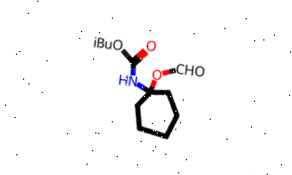 CC(C)COC(=O)NC1(OC=O)CCCCC1